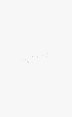 CCOc1cc(OC(=O)Nc2ccccc2)c2ccccc2c1OC(=O)Nc1ccccc1